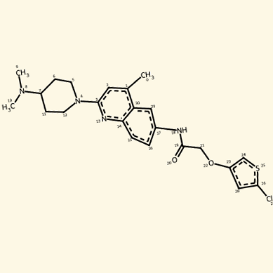 Cc1cc(N2CCC(N(C)C)CC2)nc2ccc(NC(=O)COc3csc(Cl)c3)cc12